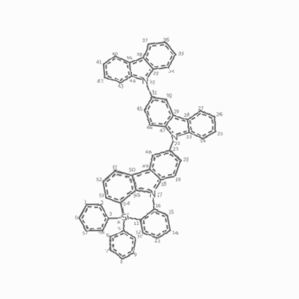 c1ccc([Si]2(c3ccccc3)c3ccccc3-n3c4ccc(-n5c6ccccc6c6cc(-n7c8ccccc8c8ccccc87)ccc65)cc4c4cccc2c43)cc1